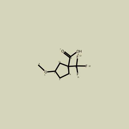 COC1CCC(C(=O)O)(C(F)(F)F)C1